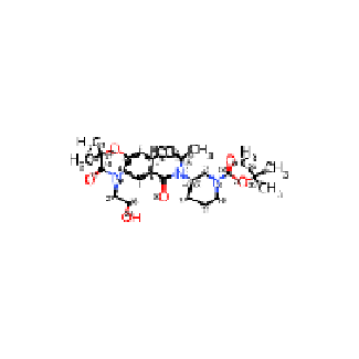 Cc1cc2c(cc1C(=O)N(C(C)C)[C@@H]1CCCN(C(=O)OC(C)(C)C)C1)N(CCO)C(=O)C(C)(C)O2